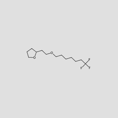 FC(F)(F)CCCCCCOCCC1CCCO1